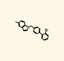 Cc1ccc2c(ccn2Cc2ccc(-c3ccccc3Br)cc2)c1